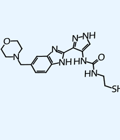 O=C(NCCS)Nc1c[nH]nc1-c1nc2cc(CN3CCOCC3)ccc2[nH]1